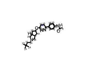 CC(=O)Nc1ccc(C(=N)/C=C\C(=N)OC2CC3CN(CCC(C)(C)C)C[C@H]3C2)cc1